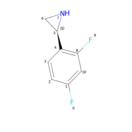 Fc1ccc([C@H]2CN2)c(F)c1